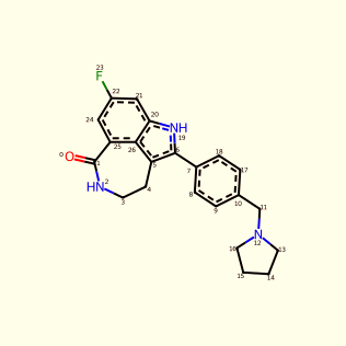 O=C1NCCc2c(-c3ccc(CN4CCCC4)cc3)[nH]c3cc(F)cc1c23